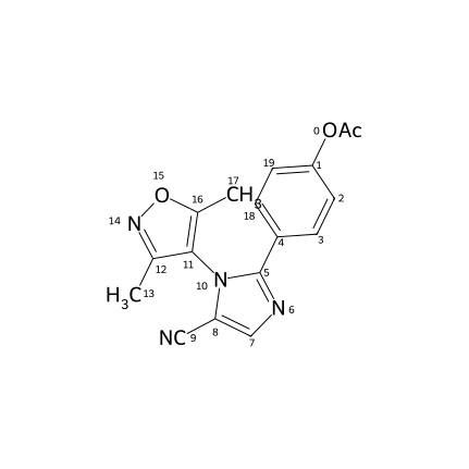 CC(=O)Oc1ccc(-c2ncc(C#N)n2-c2c(C)noc2C)cc1